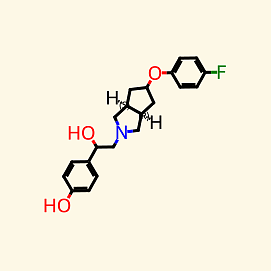 Oc1ccc(C(O)CN2C[C@H]3CC(Oc4ccc(F)cc4)C[C@H]3C2)cc1